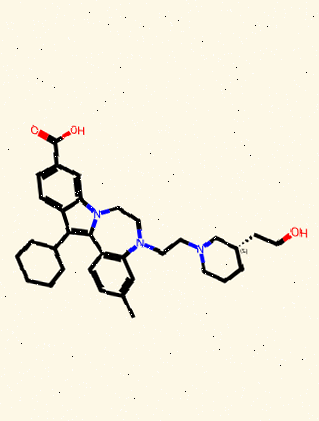 Cc1ccc2c(c1)N(CCN1CCC[C@@H](CCO)C1)CCn1c-2c(C2CCCCC2)c2ccc(C(=O)O)cc21